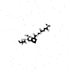 CCC(F)(F)C(=O)N[C@H]1Cc2cccc(C(=O)OCOC(=O)CCC(=O)N(C)C)c2OB1O